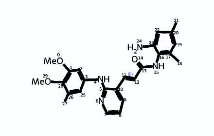 COc1cc(Nc2ncccc2/C=C/C(=O)Nc2c(C)cc(C)cc2N)cc(C)c1OC